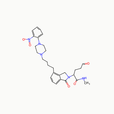 CNC(=O)C(CCC=O)N1Cc2c(CCCCN3CCN(c4ccccc4[N+](=O)[O-])CC3)cccc2C1=O